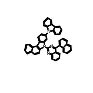 c1ccc2c(-c3nc(-n4c5cc(-n6c7ccccc7c7ccccc76)ccc5c5c6ccccc6ccc54)nc4ccccc34)cccc2c1